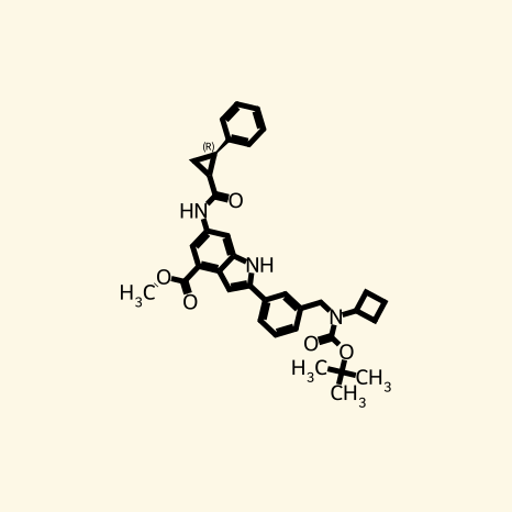 COC(=O)c1cc(NC(=O)C2C[C@H]2c2ccccc2)cc2[nH]c(-c3cccc(CN(C(=O)OC(C)(C)C)C4CCC4)c3)cc12